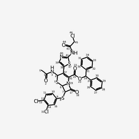 CC(=O)NC1SC2C(Sc3ccc(Cl)c(Cl)c3)C(=O)N2C(C(=O)OC(c2ccccc2)c2ccccc2)=C1c1cnc(NC(=O)CCl)s1